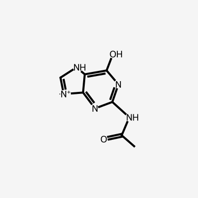 CC(=O)Nc1nc(O)c2c(n1)[N+]=CN2